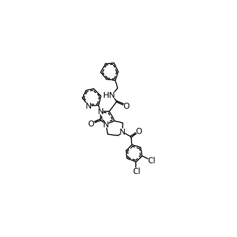 O=C(NCc1ccccc1)c1c2n(c(=O)n1-c1ccccn1)CCN(C(=O)c1ccc(Cl)c(Cl)c1)C2